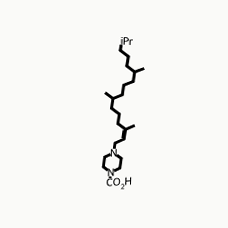 CC(=CCN1CCN(C(=O)O)CC1)CCCC(C)CCCC(C)CCCC(C)C